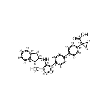 Cc1noc(-c2ccc(-c3ccc(C4(C(=O)O)CC4)cc3)cc2)c1NC1Cc2ccccc2C1